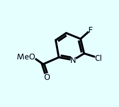 COC(=O)c1ccc(F)c(Cl)n1